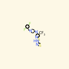 CN(c1cnc(SNc2cscn2)cc1C(F)(F)F)C1CCN(Cc2cc(F)ccc2F)CC1